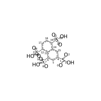 O=S(=O)(O)c1cc(S(=O)(=O)O)c2c(S(=O)(=O)O)ccc(S(=O)(=O)O)c2c1